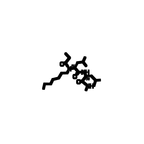 CCCCCCCN(C(=O)CC)[C@@H](CC(C)C)C(=O)N[C@@H](CC(C)C)C(=O)NC